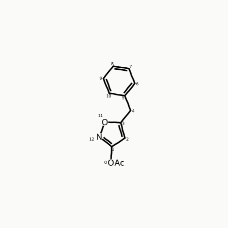 CC(=O)Oc1cc(Cc2ccccc2)on1